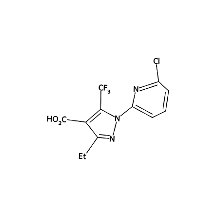 CCc1nn(-c2cccc(Cl)n2)c(C(F)(F)F)c1C(=O)O